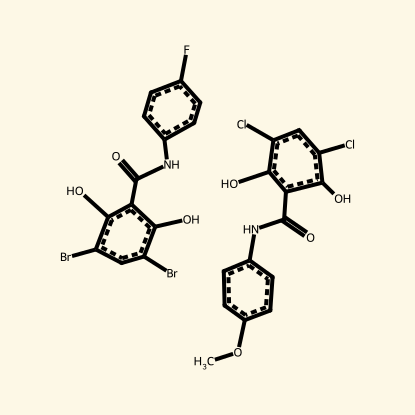 COc1ccc(NC(=O)c2c(O)c(Cl)cc(Cl)c2O)cc1.O=C(Nc1ccc(F)cc1)c1c(O)c(Br)cc(Br)c1O